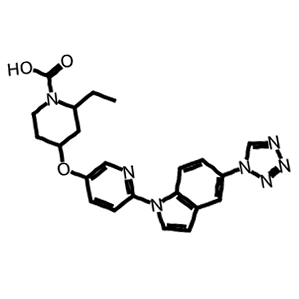 CCC1CC(Oc2ccc(-n3ccc4cc(-n5cnnn5)ccc43)nc2)CCN1C(=O)O